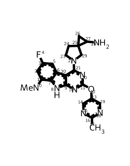 CNc1cc(F)cc2c1[nH]c1nc(Oc3cnc(C)nc3)nc(N3CCC4(CC4N)C3)c12